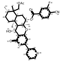 CC(=O)OCC1(C)C2C[C@H](OC(=O)c3ccc(C#N)c(F)c3)[C@@]3(C)Oc4cc(-c5cccnc5)oc(=O)c4[C@H](O)C3[C@@]2(C)CC[C@@H]1C